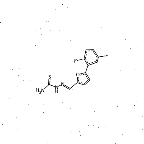 NC(=S)NN=Cc1ccc(-c2cc(F)ccc2F)o1